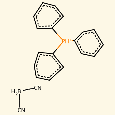 N#C[BH2-]C#N.c1ccc([PH+](c2ccccc2)c2ccccc2)cc1